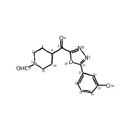 O=CN1CCC(C(=O)c2nnc(-c3cccc(Cl)c3)o2)CC1